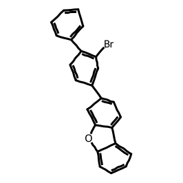 Brc1cc(-c2ccc3c(c2)oc2ccccc23)ccc1-c1ccccc1